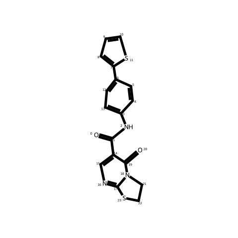 O=C(Nc1ccc(-c2cccs2)cc1)c1cnc2n(c1=O)CCS2